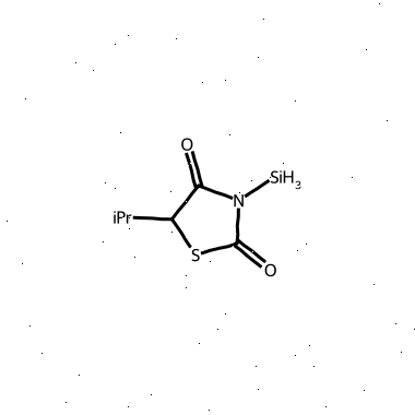 CC(C)C1SC(=O)N([SiH3])C1=O